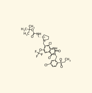 CCS(=O)(=O)c1ccc(Cl)cc1Cn1c(=O)[nH]c2c(Cl)c(CN3CCC[C@H]3CNC(=O)OC(C)(C)C)c(OC(F)(F)F)cc2c1=O